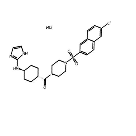 Cl.O=C([C@H]1CC[C@H](Nc2ncc[nH]2)CC1)N1CCN(S(=O)(=O)c2ccc3cc(Cl)ccc3c2)CC1